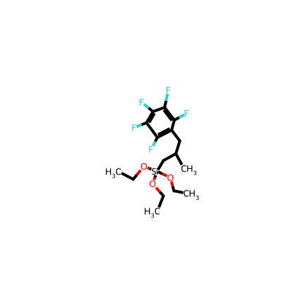 CCO[Si](CC(C)Cc1c(F)c(F)c(F)c(F)c1F)(OCC)OCC